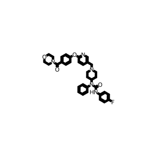 O=C(c1ccc(Oc2ccc(CN3CCC(N(C(=O)Nc4ccc(F)cc4)c4ccccc4)CC3)cn2)cc1)N1CCOCC1